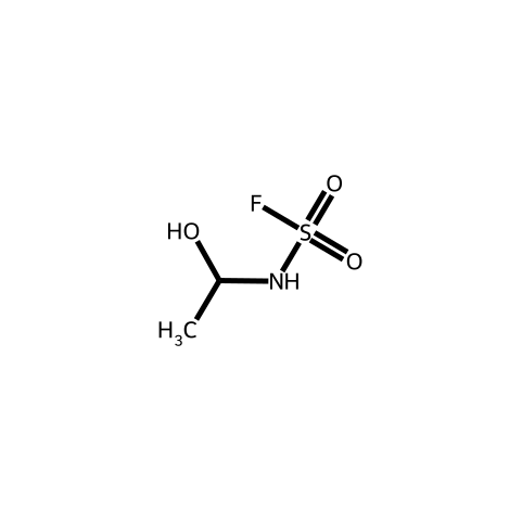 CC(O)NS(=O)(=O)F